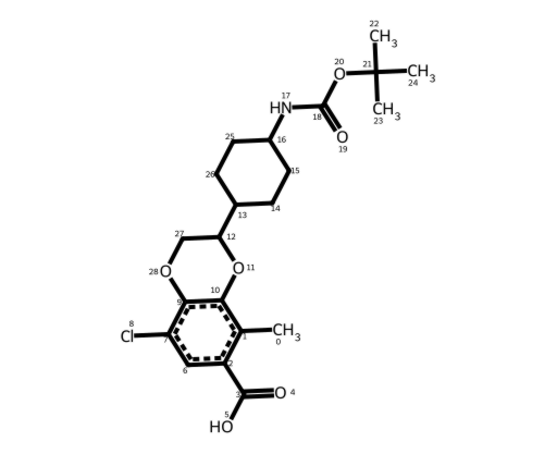 Cc1c(C(=O)O)cc(Cl)c2c1OC(C1CCC(NC(=O)OC(C)(C)C)CC1)CO2